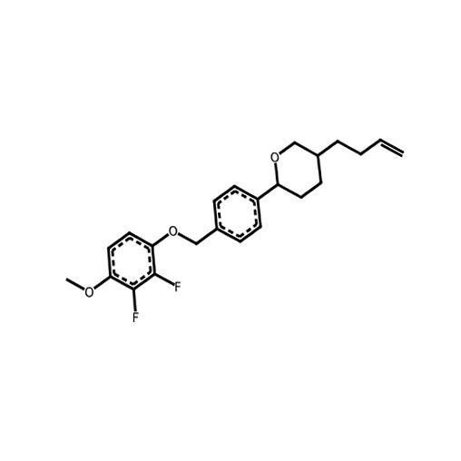 C=CCCC1CCC(c2ccc(COc3ccc(OC)c(F)c3F)cc2)OC1